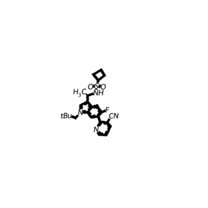 C[C@@H](NS(=O)(=O)C1CCC1)c1cn(CC(C)(C)C)c2cc(-c3ncccc3C#N)c(F)cc12